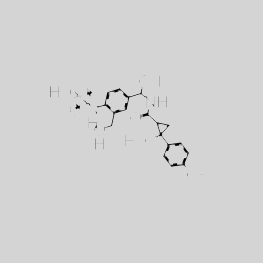 CC(NC(=O)C1CC1(C)c1ccc(C(F)(F)F)cc1)c1ccc(NS(C)(=O)=O)c(CO)c1